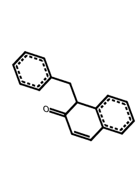 O=C1C=Cc2ccccc2C1Cc1ccccc1